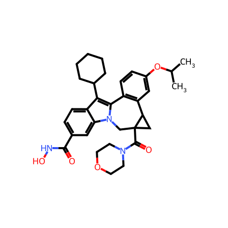 CC(C)Oc1ccc2c(c1)C1CC1(C(=O)N1CCOCC1)Cn1c-2c(C2CCCCC2)c2ccc(C(=O)NO)cc21